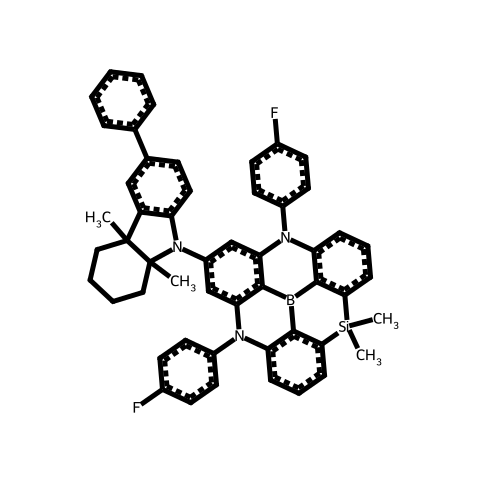 CC12CCCCC1(C)N(c1cc3c4c(c1)N(c1ccc(F)cc1)c1cccc5c1B4c1c(cccc1[Si]5(C)C)N3c1ccc(F)cc1)c1ccc(-c3ccccc3)cc12